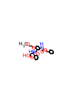 COCCOc1ccc(NC(=O)OCc2ccccc2)cc1C(=O)NC(CC(=O)O)c1ccccc1